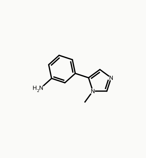 Cn1cncc1-c1cccc(N)c1